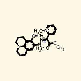 COC(=O)/C(=N\N(C)c1cc2c3c(c1OC)CCCN3CCC2)c1cccc[n+]1C